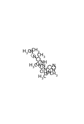 CCSN(C)c1c(Nc2nc(Nc3cc(C)c(N4CCC(N(C)C)C4)cc3OC)ncc2Cl)ccc2nccnc12